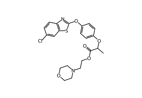 CC(Oc1ccc(Oc2nc3ccc(Cl)cc3s2)cc1)C(=O)OCCN1CCOCC1